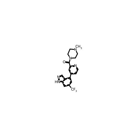 CN1CCN(C(=O)c2cc(-c3cc(C(F)(F)F)cc4[nH]ncc34)ccn2)CC1